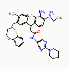 CCN(N)c1ccc(C(CC(=O)Nc2cnc(N3CCCCC3)nc2)c2ccc(C)c(CN3CCOc4ncccc4S3)c2)c(C)c1N